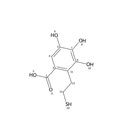 O=C(O)c1cc(O)c(O)c(O)c1CCS